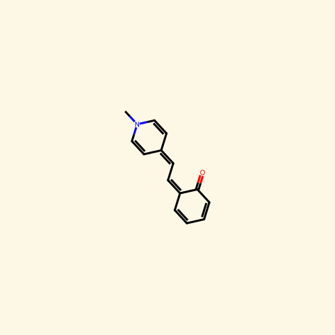 CN1C=CC(=CC=C2C=CC=CC2=O)C=C1